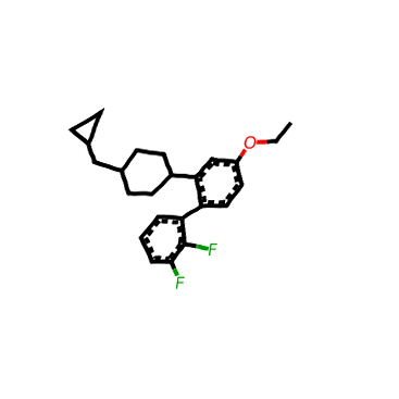 CCOc1ccc(-c2cccc(F)c2F)c(C2CCC(CC3CC3)CC2)c1